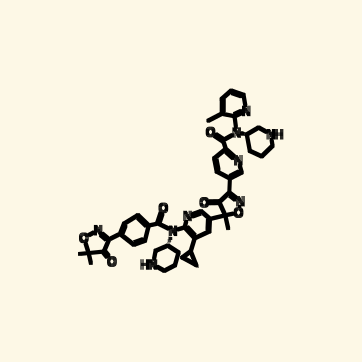 Cc1cccnc1N(C(=O)c1ccc(C2=NOC(C)(c3cnc(N(C(=O)c4ccc(C5=NOC(C)(C)C5=O)cc4)[C@@H]4CCCNC4)c(C4CC4)c3)C2=O)cn1)[C@@H]1CCCNC1